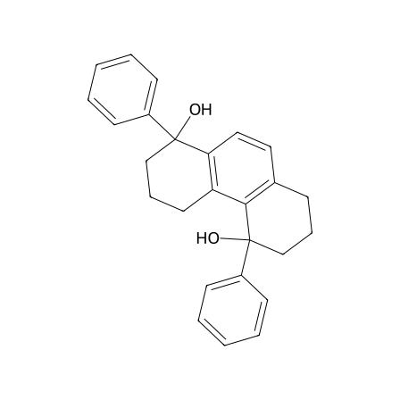 OC1(c2ccccc2)CCCc2c1ccc1c2C(O)(c2ccccc2)CCC1